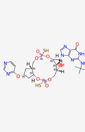 CC(C)(C)Nc1nc2c(ncn2[C@@H]2O[C@@H]3CO[P@@](=O)(S)O[C@H]4C[C@H](Oc5ccncn5)C[C@@H]4CO[P@@](=O)(S)O[C@@H]2[C@@H]3O)c(=O)[nH]1